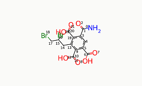 NC(=O)c1cc(C(=O)O)c(C(=O)O)c(CC(Br)CBr)c1C(=O)O